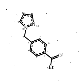 CCC(=O)c1ccc(Cn2cccn2)cc1